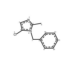 Cc1ncc(Cl)n1Cc1ccccc1